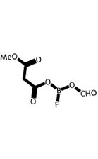 COC(=O)CC(=O)OB(F)OC=O